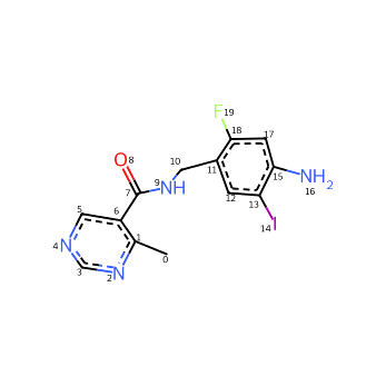 Cc1ncncc1C(=O)NCc1cc(I)c(N)cc1F